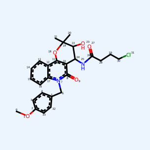 COc1ccc(Cn2c(=O)c3c(c4ccccc42)OC(C)(C)C(O)C3NC(=O)CCCCl)cc1